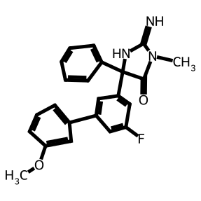 COc1cccc(-c2cc(F)cc(C3(c4ccccc4)NC(=N)N(C)C3=O)c2)c1